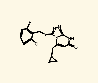 O=c1cc(CC2CC2)n2c(SCc3c(F)cccc3Cl)nnc2[nH]1